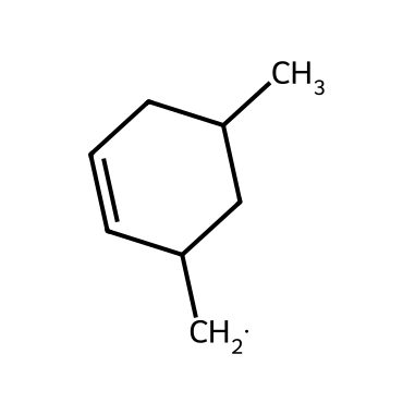 [CH2]C1C=CCC(C)C1